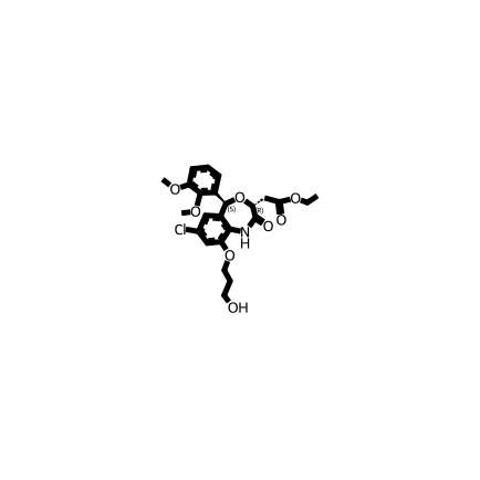 CCOC(=O)C[C@H]1O[C@H](c2cccc(OC)c2OC)c2cc(Cl)cc(OCCCO)c2NC1=O